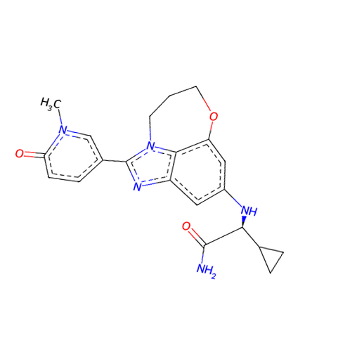 Cn1cc(-c2nc3cc(N[C@H](C(N)=O)C4CC4)cc4c3n2CCCO4)ccc1=O